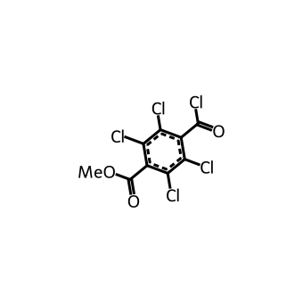 COC(=O)c1c(Cl)c(Cl)c(C(=O)Cl)c(Cl)c1Cl